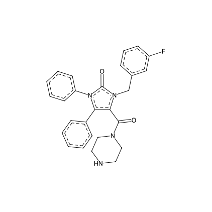 O=C(c1c(-c2ccccc2)n(-c2ccccc2)c(=O)n1Cc1cccc(F)c1)N1CCNCC1